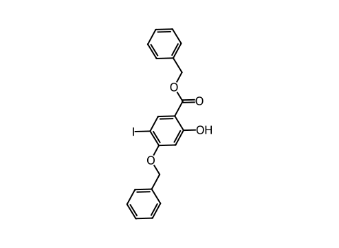 O=C(OCc1ccccc1)c1cc(I)c(OCc2ccccc2)cc1O